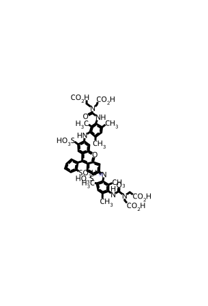 Cc1cc(C)c(NC(=O)N(CC(=O)O)CC(=O)O)c(C)c1/N=c1/cc2oc3cc(Nc4c(C)cc(C)c(NC(=O)N(CC(=O)O)CC(=O)O)c4C)c(S(=O)(=O)O)cc3c(-c3ccccc3S(=O)(=O)O)c-2cc1S(=O)(=O)O